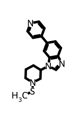 CSN1CCCC(n2cnc3ccc(-c4ccncc4)cc32)C1